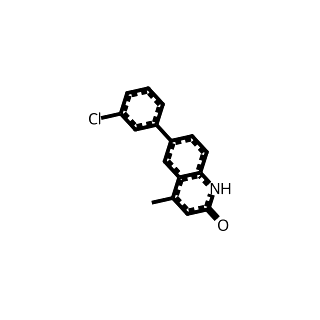 Cc1cc(=O)[nH]c2ccc(-c3cccc(Cl)c3)cc12